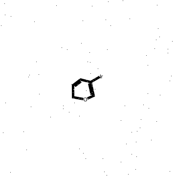 [Ir][C]1=COCC=C1